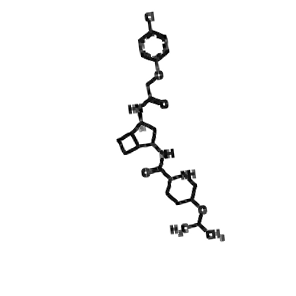 CC(C)OC1CCC(C(=O)NC2C[C@H](NC(=O)COc3ccc(Cl)cc3)C3CCC23)NC1